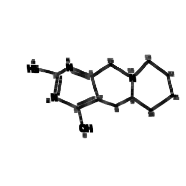 Oc1nc(S)nc2c1CC1CCCCN1C2